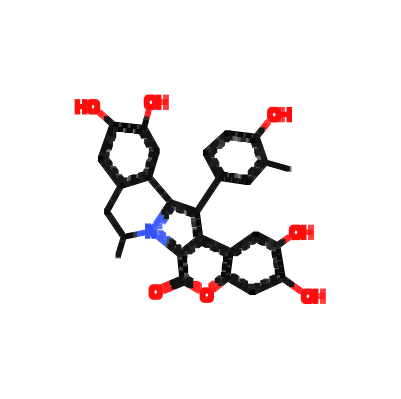 Cc1cc(-c2c3n(c4c(=O)oc5cc(O)c(O)cc5c24)C(C)Cc2cc(O)c(O)cc2-3)ccc1O